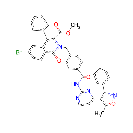 COC(=O)c1c(-c2ccccc2)c2cc(Br)ccc2c(=O)n1Cc1ccc(C(=O)Nc2nccc(-c3c(-c4ccccc4)noc3C)n2)cc1